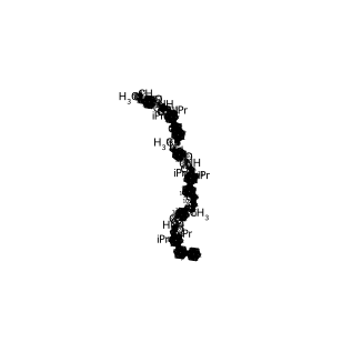 CC(C)c1cc(-c2cccc(-c3ccccc3)c2)cc(C(C)C)c1CC(=O)NS(=O)(=O)c1ccc(CN(C)Cc2cc3cc(-c4cc(C(C)C)c(CC(=O)NS(=O)(=O)c5ccc(CN(C)Cc6ccc7cc(-c8cc(C(C)C)c(CC(=O)NS(=O)(=O)c9ccc(CN(C)C)cc9)c(C(C)C)c8)oc7c6)cc5)c(C(C)C)c4)ccc3s2)cc1